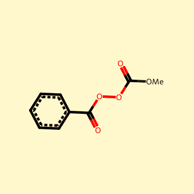 COC(=O)OOC(=O)c1ccccc1